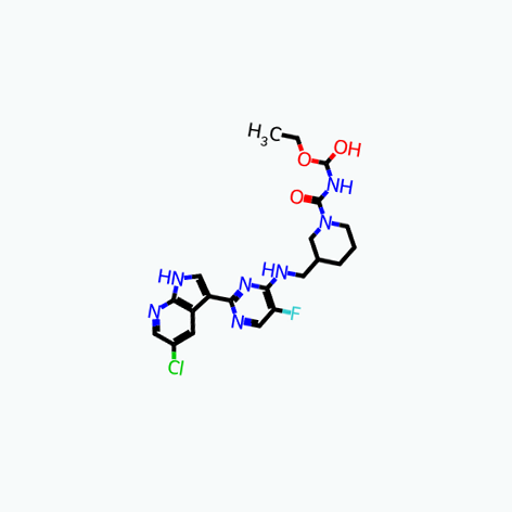 CCOC(O)NC(=O)N1CCCC(CNc2nc(-c3c[nH]c4ncc(Cl)cc34)ncc2F)C1